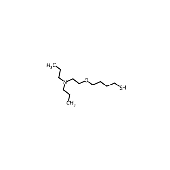 CCCN(CCC)CCOCCCCS